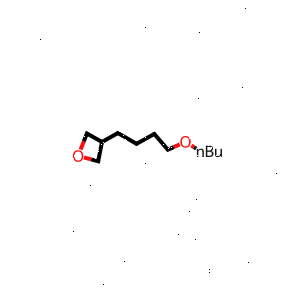 CCCCOCCCCC1COC1